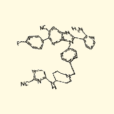 N#Cc1nccc(NC2CCN(Cc3ccc(-n4c(-c5cccnc5N)nc5cc(C#N)c(-c6ccc(F)cc6)nc54)cc3)CC2)n1